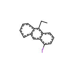 CCc1c2ccccc2cc2c(I)cccc12